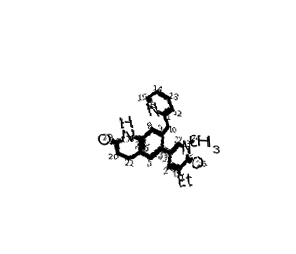 CCc1cc(-c2cc3c(cc2Cc2ccccn2)NC(=O)CC3)cn(C)c1=O